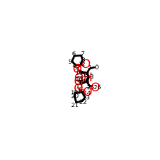 CC1OC2(CCCCC2)OC(O)=C1C=C1C(=O)OC2(CCCCC2)OC1=O